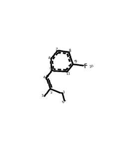 CC/C(C)=C\c1cccc(F)c1